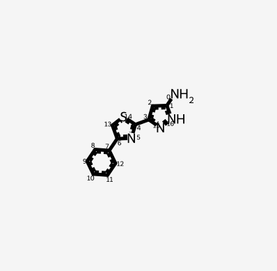 Nc1cc(-c2nc(-c3ccccc3)cs2)n[nH]1